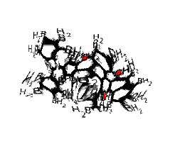 B=c1c(-c2c(B)c(B)c(-n3c(-c4c(B)c(B)c(B)c(B)c4B)nc4c(B)c(B)c(B)c(B)c43)c(B)c2B)c2c(B)c(B)c(B)c(B)c2c(-c2c(B)c(B)c3c(B)c(B)c(B)c(B)c3c2B)/c1=C(B)/C(B)=C(/B)C